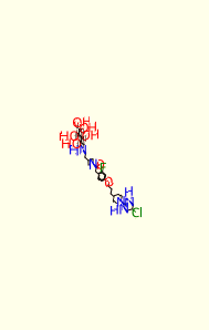 O=C(Cc1ccc(OCCCC2CCN(C3NCC(Cl)CN3)CC2)cc1F)N1CC(CCNC[C@H](O)[C@@H](O)[C@H](O)[C@H](O)CO)C1